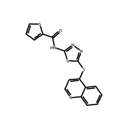 O=C(Nc1nnc(Sc2ccnc3ccccc23)s1)c1cccs1